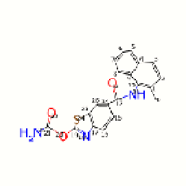 Cc1ccc2ccccc2c1NC(=O)c1ccc2nc(OC(N)=O)sc2c1